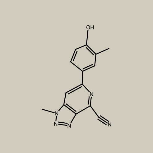 Cc1cc(-c2cc3c(nnn3C)c(C#N)n2)ccc1O